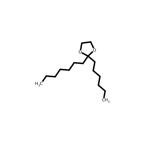 CCCCCCCC1(CCCCCC)OCCO1